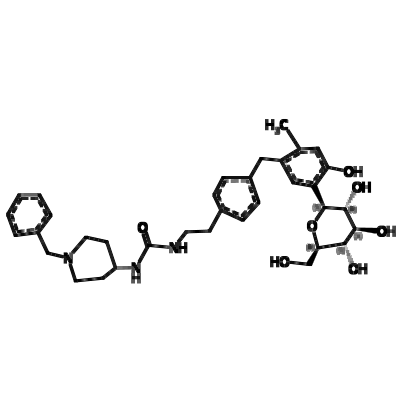 Cc1cc(O)c([C@@H]2O[C@H](CO)[C@@H](O)[C@H](O)[C@H]2O)cc1Cc1ccc(CCNC(=O)NC2CCN(Cc3ccccc3)CC2)cc1